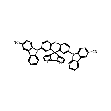 N#Cc1ccc2c(c1)c1ccccc1n2-c1ccc2c(c1)C1(c3cc(-n4c5ccccc5c5cc(C#N)ccc54)ccc3O2)c2cccnc2-c2ncccc21